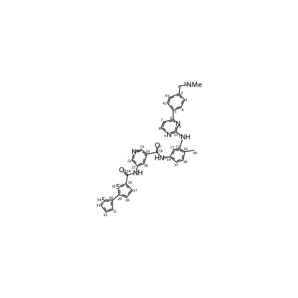 CNCc1ccc(-c2ccnc(Nc3cc(NC(=O)c4cncc(NC(=O)c5ccc(-c6cccs6)s5)c4)ccc3C)n2)cc1